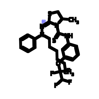 CCCCCCN(/N=C1/SCC(C)N1C(=S)Nc1cccc(OC(F)(F)C(F)F)c1)c1ccccc1